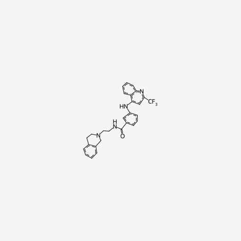 O=C(NCCN1CCc2ccccc2C1)c1cccc(Nc2cc(C(F)(F)F)nc3ccccc23)c1